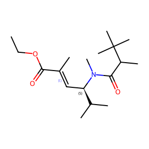 CCOC(=O)/C(C)=C/[C@H](C(C)C)N(C)C(=O)C(C)C(C)(C)C